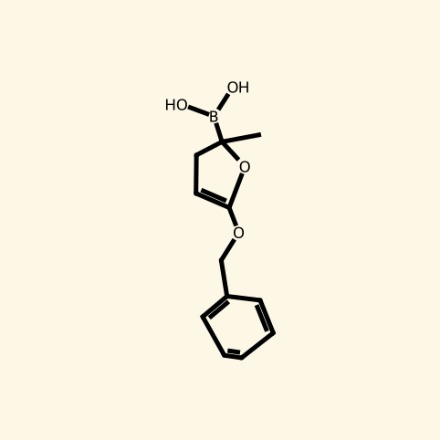 CC1(B(O)O)CC=C(OCc2ccccc2)O1